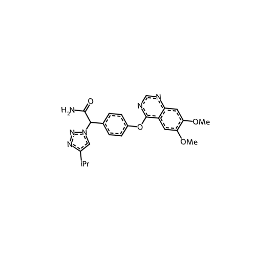 COc1cc2ncnc(Oc3ccc(C(C(N)=O)n4cc(C(C)C)nn4)cc3)c2cc1OC